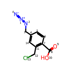 [N-]=[N+]=NCc1ccc(C(=O)O)c(CCl)c1